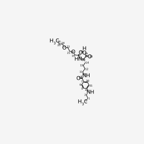 CCCNc1ccc(C(=O)NCCCC[C@H](NC(=O)COCCOCCC)C(=O)O)cc1